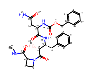 CC(C)(C)NC(=O)C1CCN1C(=O)[C@H](O)[C@@H](Cc1ccccc1)NC(=O)[C@@H](CC(N)=O)NC(=O)OCc1ccccc1